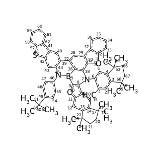 Cc1cc2c(cc1N1c3c(oc4cc5c(cc34)C(C)(C)CCC5(C)C)B3c4c(cc5c(oc6ccccc65)c41)-c1cc4c(cc1N3c1ccc(C(C)(C)C)cc1)sc1ccccc14)C(C)(C)CCC2(C)C